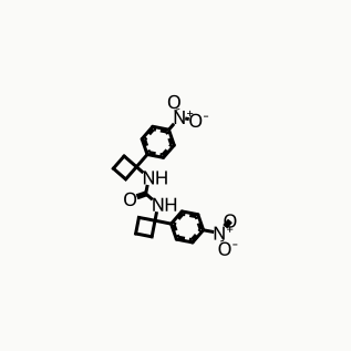 O=C(NC1(c2ccc([N+](=O)[O-])cc2)CCC1)NC1(c2ccc([N+](=O)[O-])cc2)CCC1